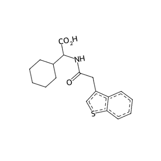 O=C(Cc1csc2ccccc12)NC(C(=O)O)C1CCCCC1